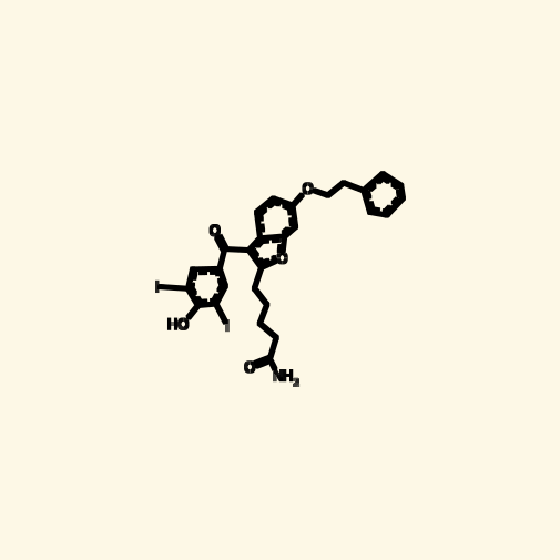 NC(=O)CCCCc1oc2cc(OCCc3ccccc3)ccc2c1C(=O)c1cc(I)c(O)c(I)c1